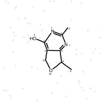 Cc1nc(O)c2c(n1)C(C)OC2